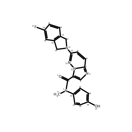 CN(C(=O)c1cnc2ccc(N3Cc4ccc(F)cc4C3)nn12)c1ccc(O)cc1